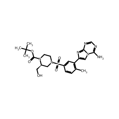 Cc1ccc(S(=O)(=O)N2CCN(C(=O)OC(C)(C)C)[C@H](CO)C2)cc1-c1cn2c(N)ncnc2n1